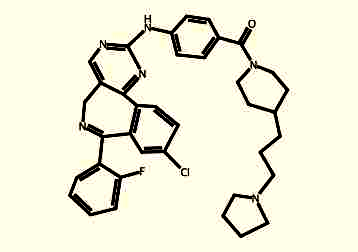 O=C(c1ccc(Nc2ncc3c(n2)-c2ccc(Cl)cc2C(c2ccccc2F)=NC3)cc1)N1CCC(CCCN2CCCC2)CC1